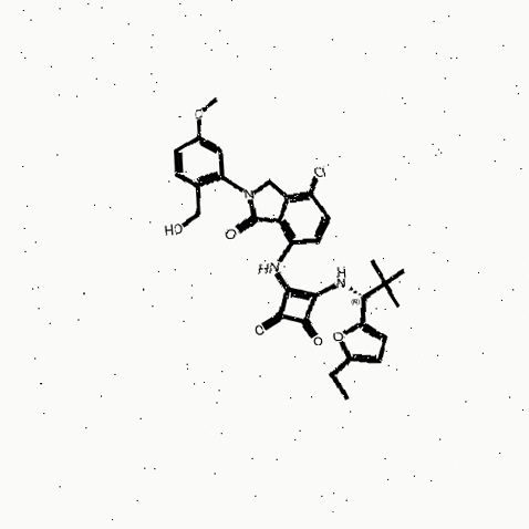 CCc1ccc([C@H](Nc2c(Nc3ccc(Cl)c4c3C(=O)N(c3cc(OC)ccc3CO)C4)c(=O)c2=O)C(C)(C)C)o1